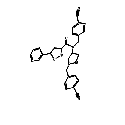 N#Cc1ccc(CN2CC(N(Cc3ccc(C#N)cc3)C(=O)C3CC(c4ccccc4)ON3)CN2)cc1